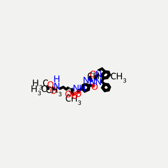 COC(=O)[C@H](CCCCNC(=O)OC(C)(C)C)NC(=O)c1ccc2c(=O)n(C3N=C(c4ccccc4)c4cc(C)cc5c4N(CC5)C3=O)c(C)nc2c1